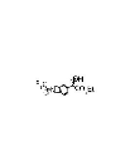 CCOC(=O)C(=NO)c1ccc2c(c1)CN(C(=O)C(F)(F)F)C2